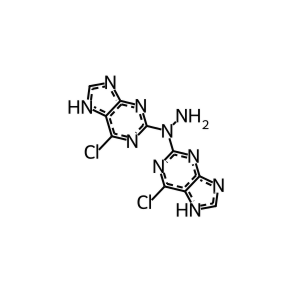 NN(c1nc(Cl)c2[nH]cnc2n1)c1nc(Cl)c2[nH]cnc2n1